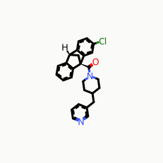 O=C(N1CCC(Cc2cccnc2)CC1)[C@]12C[C@H](c3ccccc31)c1ccc(Cl)cc12